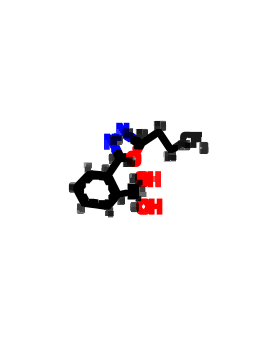 OB(O)c1ccccc1-c1nnc(CCC(F)(F)F)o1